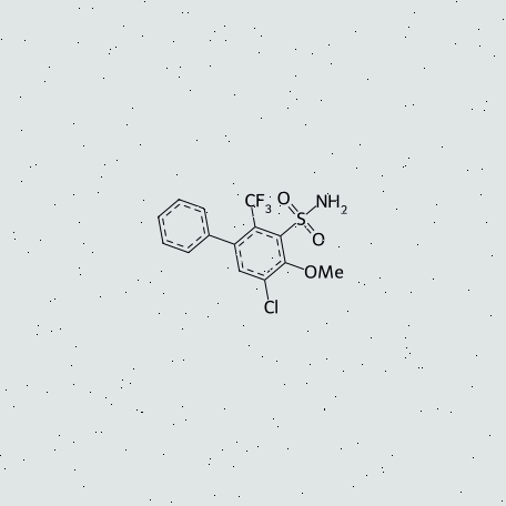 COc1c(Cl)cc(-c2ccccc2)c(C(F)(F)F)c1S(N)(=O)=O